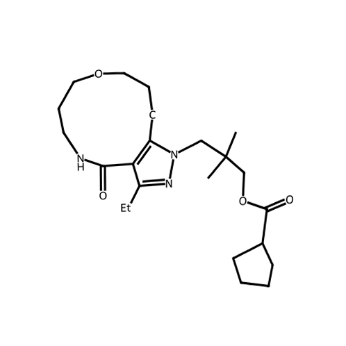 CCc1nn(CC(C)(C)COC(=O)C2CCCC2)c2c1C(=O)NCCCOCCC2